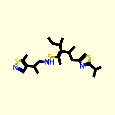 CCC(C)/C(=C(/C)SNCC(C)c1cnsc1C)C(C)Cc1csc(C(C)C)n1